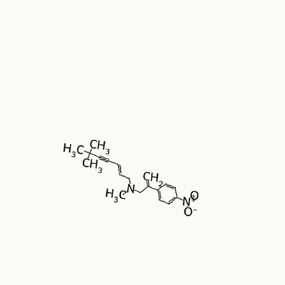 C=C(CN(C)CC=CC#CC(C)(C)C)c1ccc([N+](=O)[O-])cc1